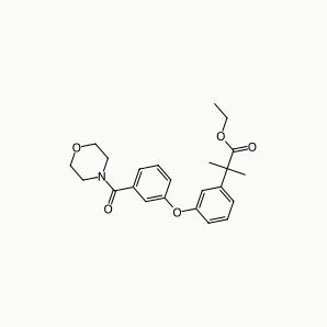 CCOC(=O)C(C)(C)c1cccc(Oc2cccc(C(=O)N3CCOCC3)c2)c1